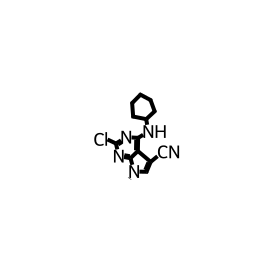 Cn1cc(C#N)c2c(NC3CCCCC3)nc(Cl)nc21